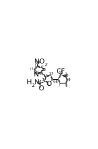 NC(=O)c1oc(-c2ccccc2C(F)(F)F)cc1-c1ncc([N+](=O)[O-])s1